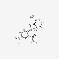 COC(=O)c1cc(N(C)C)ccc1C1NC2CC=CC(O)=C2S1